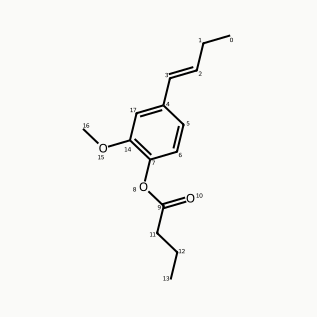 CC/C=C/c1ccc(OC(=O)CCC)c(OC)c1